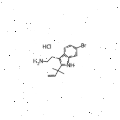 C=CC(C)(C)c1[nH]c2cc(Br)ccc2c1CCN.Cl